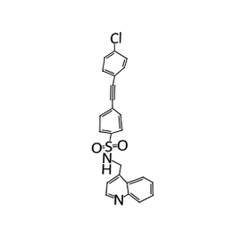 O=S(=O)(NCc1ccnc2ccccc12)c1ccc(C#Cc2ccc(Cl)cc2)cc1